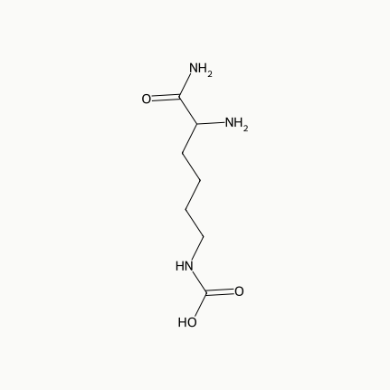 NC(=O)C(N)CCCCNC(=O)O